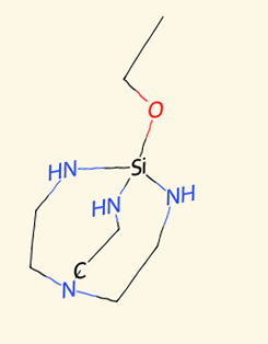 CCO[Si]12NCCN(CCN1)CCN2